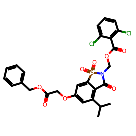 CC(C)c1cc(OCC(=O)OCc2ccccc2)cc2c1C(=O)N(COC(=O)c1c(Cl)cccc1Cl)S2(=O)=O